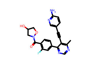 Cc1ncnc(-c2ccc(C(=O)N3CC(O)CO3)c(F)c2)c1C#Cc1ccc(N)nc1